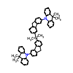 CC1(C)c2ccccc2N(c2ccc3c(c2)-c2cc([Si](C)(C)c4ccc5c(c4)-c4cc(N6c7ccccc7C(C)(C)c7ccccc76)ccc4C5)ccc2C3)c2ccccc21